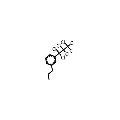 CC[CH]c1cccc(C(Cl)(Cl)C(Cl)(Cl)C(Cl)(Cl)Cl)c1